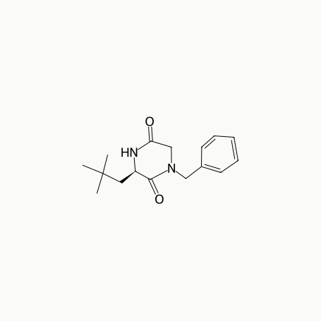 CC(C)(C)C[C@H]1NC(=O)CN(Cc2ccccc2)C1=O